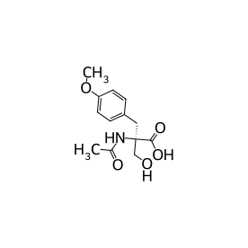 COc1ccc(C[C@](CO)(NC(C)=O)C(=O)O)cc1